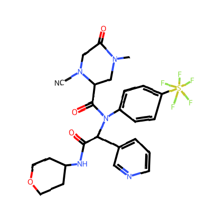 CN1CC(C(=O)N(c2ccc(S(F)(F)(F)(F)F)cc2)C(C(=O)NC2CCOCC2)c2cccnc2)N(C#N)CC1=O